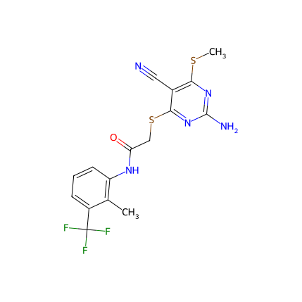 CSc1nc(N)nc(SCC(=O)Nc2cccc(C(F)(F)F)c2C)c1C#N